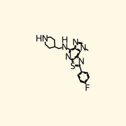 Cn1cnc2c(NCC3CCNCC3)nc3sc(-c4ccc(F)cc4)nc3c21